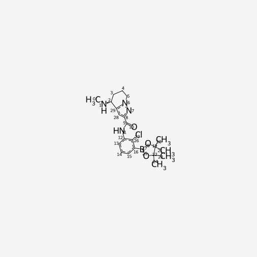 CN[C@H]1CCCn2nc(C(=O)Nc3cccc(B4OC(C)(C)C(C)(C)O4)c3Cl)cc21